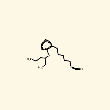 CCCC(CC)Oc1ccccc1OCCCCN=C=O